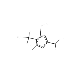 COc1cc(C(C)C)cc(F)c1C(C)(C)C